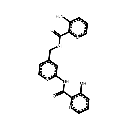 Nc1cccnc1C(=O)NCc1ccnc(NC(=O)c2ncccc2O)c1